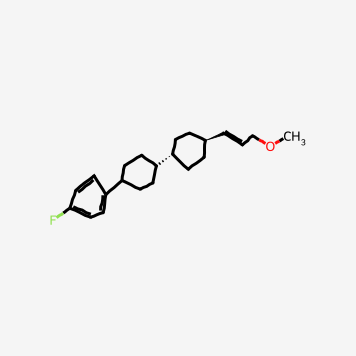 COC/C=C/[C@H]1CC[C@H](C2CCC(c3ccc(F)cc3)CC2)CC1